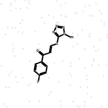 CC(C)n1nnnc1S/C=C/C(=O)c1ccc(F)cc1